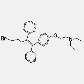 CCN(CC)CCOc1ccc(/C(=C(/CCCBr)c2ccccc2)c2ccccc2)cc1